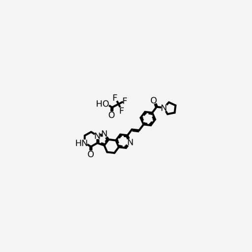 O=C(O)C(F)(F)F.O=C1NCCn2nc3c(c21)CCc1cnc(C=Cc2ccc(C(=O)N4CCCC4)cc2)cc1-3